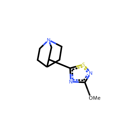 COc1nsc(C2CN3CCC2CC3)n1